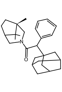 CC1(C)C2CC[C@]1(C)CN(C(=O)C(c1ccccc1)C13CC4CC(CC(C4)C1)C3)C2